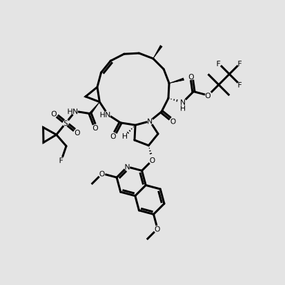 COc1ccc2c(O[C@@H]3C[C@H]4C(=O)N[C@]5(C(=O)NS(=O)(=O)C6(CF)CC6)CC5/C=C\CC[C@@H](C)C[C@@H](C)[C@H](NC(=O)OC(C)(C)C(F)(F)F)C(=O)N4C3)nc(OC)cc2c1